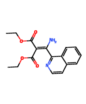 CCOC(=O)C(C(=O)OCC)=C(N)c1nccc2ccccc12